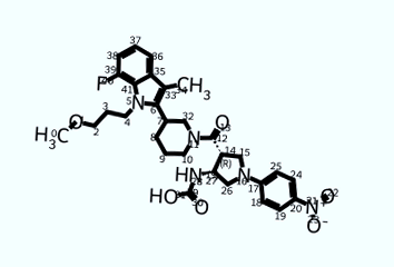 COCCCn1c(C2CCCN(C(=O)[C@@H]3CN(c4ccc([N+](=O)[O-])cc4)C[C@H]3NC(=O)O)C2)c(C)c2cccc(F)c21